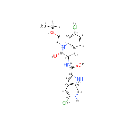 CC(C)(C)[Si](C)(C)OCCN1C(=O)C(NC(=O)c2cc3cc(Cl)ncc3[nH]2)Cc2ccc(Cl)cc21